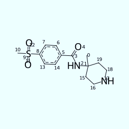 CC1(NC(=O)c2ccc(S(C)(=O)=O)cc2)CCNCC1